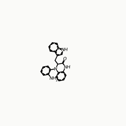 Nc1ccccc1N1c2ccccc2NC(=O)C1Cc1c[nH]c2ccccc12